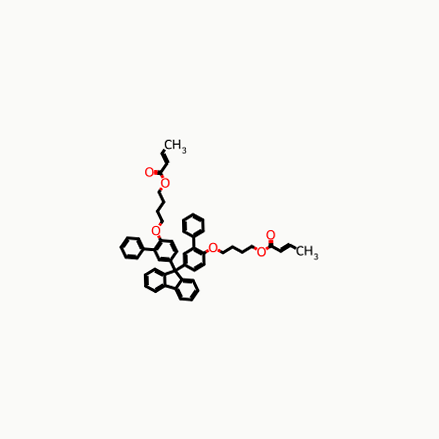 CC=CC(=O)OCCCCOc1ccc(C2(c3ccc(OCCCCOC(=O)C=CC)c(-c4ccccc4)c3)c3ccccc3-c3ccccc32)cc1-c1ccccc1